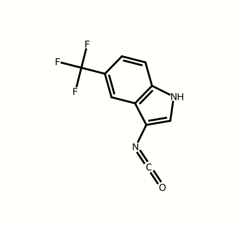 O=C=Nc1c[nH]c2ccc(C(F)(F)F)cc12